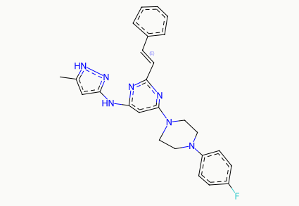 Cc1cc(Nc2cc(N3CCN(c4ccc(F)cc4)CC3)nc(/C=C/c3ccccc3)n2)n[nH]1